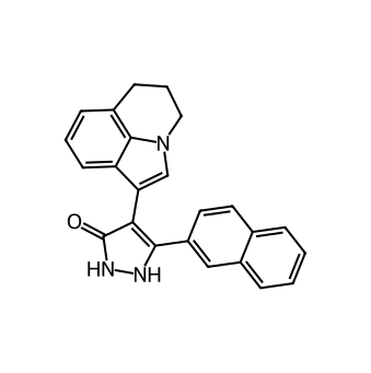 O=c1[nH][nH]c(-c2ccc3ccccc3c2)c1-c1cn2c3c(cccc13)CCC2